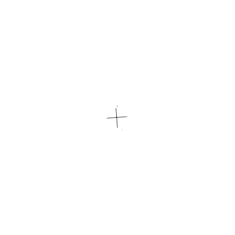 CCCCC(O)(P)CCCC